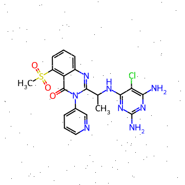 CC(Nc1nc(N)nc(N)c1Cl)c1nc2cccc(S(C)(=O)=O)c2c(=O)n1-c1cccnc1